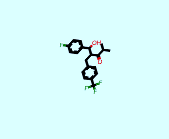 CC(C)C(=O)C(Cc1ccc(C(F)(F)F)cc1)C(O)c1ccc(F)cc1